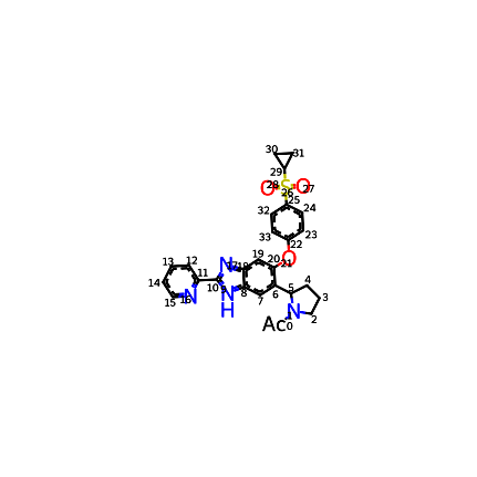 CC(=O)N1CCCC1c1cc2[nH]c(-c3ccccn3)nc2cc1Oc1ccc(S(=O)(=O)C2CC2)cc1